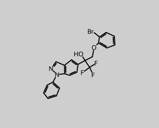 OC(COc1ccccc1Br)(c1ccc2c(cnn2-c2ccccc2)c1)C(F)(F)F